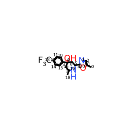 Cc1cnc(C2CC(O)(c3ccc(C(F)(F)F)cc3)CC(C)N2)o1